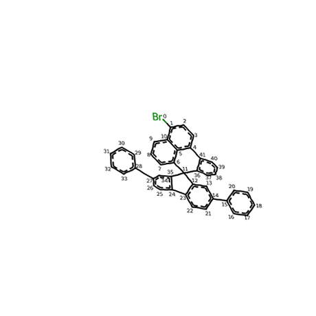 Brc1ccc2c3c(cccc13)C1(c3cc(-c4ccccc4)ccc3-c3ccc(-c4ccccc4)cc31)c1ccccc1-2